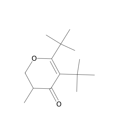 CC1COC(C(C)(C)C)=C(C(C)(C)C)C1=O